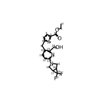 CCOC(=O)c1ccc(Cc2ccc(N3CC4C(C3)C4(F)F)nc2CO)s1